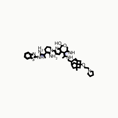 C/C(NCC1CC2(C)CC3(OCCN4CCCC4)CC4(C)CC1CC243)=C1/C(=N)COC(O)c2nc(N3CCCC(/C(C)=C(\N)Nc4nc5ccccc5s4)=C3N)ccc21